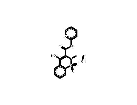 CN1C(C(=O)Nc2ccccn2)=C(O)c2ccccc2S1(=O)=O.CO